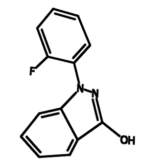 Oc1nn(-c2ccccc2F)c2ccccc12